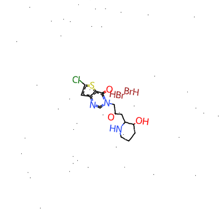 Br.Br.O=C(CC1NCCCC1O)Cn1cnc2cc(Cl)sc2c1=O